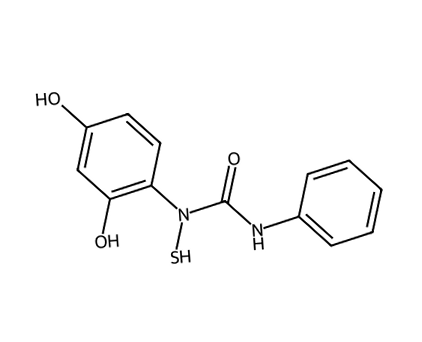 O=C(Nc1ccccc1)N(S)c1ccc(O)cc1O